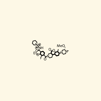 CCOc1c(C(=O)NS(=O)(=O)N2CCCCC2)ccc(C(=O)N2CCc3c(c(=O)oc4c(C)c(N5CCN(C)[C@@H](COC)C5)ccc34)C2)c1F